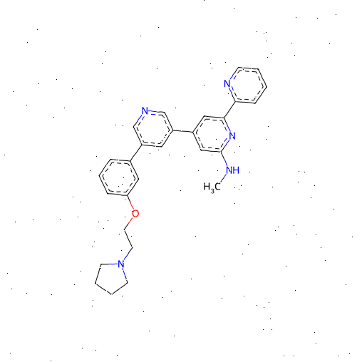 CNc1cc(-c2cncc(-c3cccc(OCCN4CCCC4)c3)c2)cc(-c2ccccn2)n1